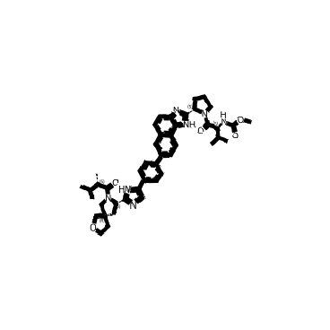 COC(=O)N[C@H](C(=O)N1CCC[C@H]1c1nc2ccc3cc(-c4ccc(-c5cnc([C@@H]6C[C@@]7(CCOC7)CN6C(=O)[C@@H](C)C(C)C)[nH]5)cc4)ccc3c2[nH]1)C(C)C